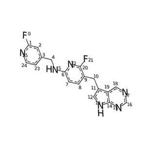 Fc1cc(CNc2ccc(Cc3c[nH]c4ncncc34)c(F)n2)ccn1